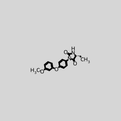 CC[C@H]1NC(=O)N(c2ccc(Oc3cccc(OC)c3)cc2)C1=O